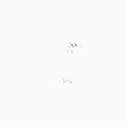 CCCCCCCCCCCCCCCCCC=CC(=O)[O-].CCCCCCCCCCCCCCCCCC=CC(=O)[O-].CCCCCCCCCCCCCCCCCC=CC(=O)[O-].[In+3]